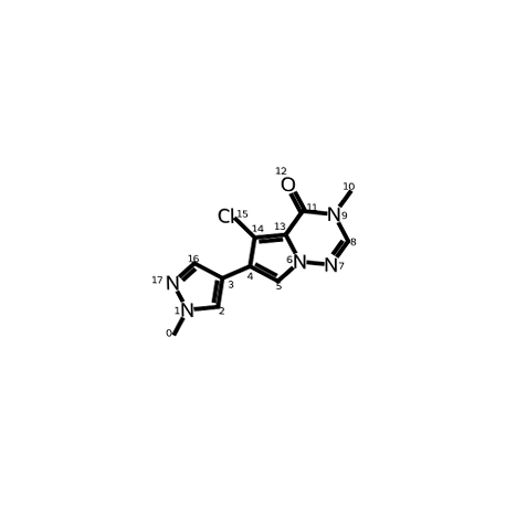 Cn1cc(-c2cn3ncn(C)c(=O)c3c2Cl)cn1